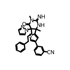 CN1C(=N)NC(C)(c2cc(-c3cccc(C#N)c3)cs2)C(CCCc2ccccc2)(n2cccn2)C1=O